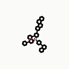 c1ccc(-c2ccc(N(c3ccc(-c4cccc5ccccc45)cc3)c3ccc(-c4ccc5c(ccc6c7ccccc7ccc56)c4)cc3-c3ccccc3)cc2)cc1